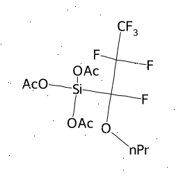 CCCOC(F)(C(F)(F)C(F)(F)F)[Si](OC(C)=O)(OC(C)=O)OC(C)=O